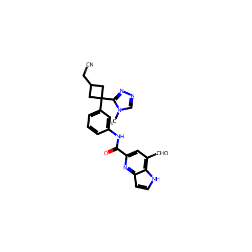 Cn1cnnc1C1(c2cccc(NC(=O)c3cc(C=O)c4[nH]ccc4n3)c2)CC(CC#N)C1